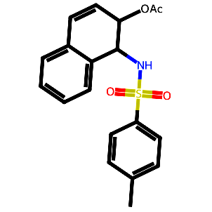 CC(=O)OC1C=Cc2ccccc2C1NS(=O)(=O)c1ccc(C)cc1